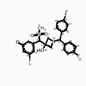 CS(=O)(=O)C(c1cc(F)cc(F)c1)C1(O)CN(C(c2ccc(F)cc2)c2ccc(F)cc2)C1